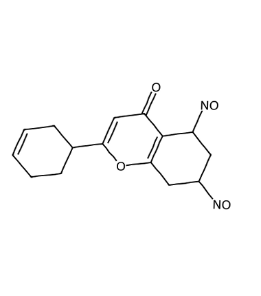 O=NC1Cc2oc(C3CC=CCC3)cc(=O)c2C(N=O)C1